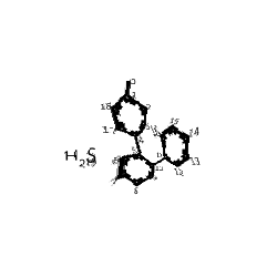 Cc1ccc(-c2ccccc2-c2ccccc2)cc1.S